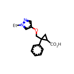 CCn1cc(OCC2(c3ccccc3)CC2C(=O)O)cn1